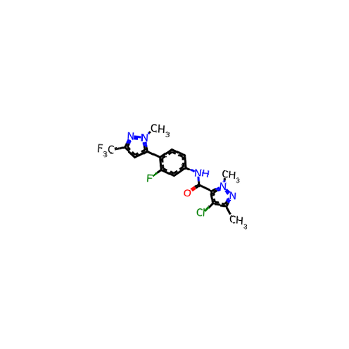 Cc1nn(C)c(C(=O)Nc2ccc(-c3cc(C(F)(F)F)nn3C)c(F)c2)c1Cl